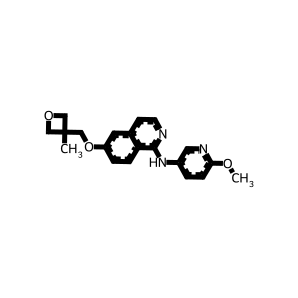 COc1ccc(Nc2nccc3cc(OCC4(C)COC4)ccc23)cn1